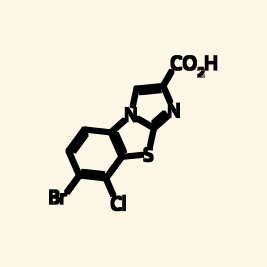 O=C(O)c1cn2c(n1)sc1c(Cl)c(Br)ccc12